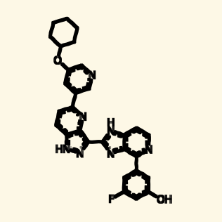 Oc1cc(F)cc(-c2nccc3[nH]c(-c4n[nH]c5ccc(-c6cncc(OC7CCCCC7)c6)nc45)nc23)c1